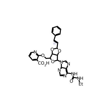 CCNC(=O)Nc1ncnc2c1ncn2C1OC(COc2ncccc2C(=O)O)C2OC(/C=C/c3ccccc3)OC21